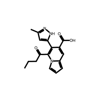 CCCC(=O)c1c(-c2cc(C)n[nH]2)c(C(=O)O)cc2cccn12